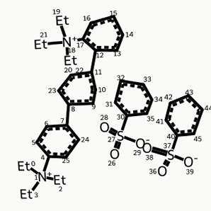 CC[N+](CC)(CC)c1ccc(-c2ccc(-c3ccccc3[N+](CC)(CC)CC)cc2)cc1.O=S(=O)([O-])c1ccccc1.O=S(=O)([O-])c1ccccc1